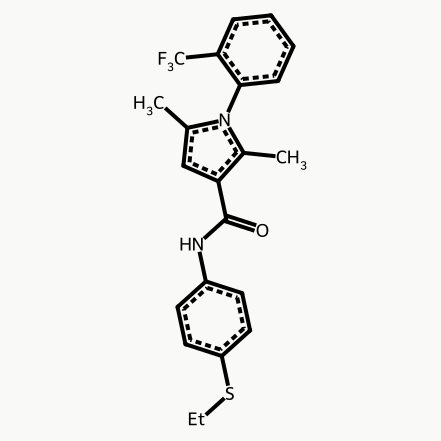 CCSc1ccc(NC(=O)c2cc(C)n(-c3ccccc3C(F)(F)F)c2C)cc1